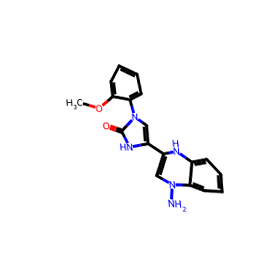 COc1ccccc1-n1cc(C2=CN(N)c3ccccc3N2)[nH]c1=O